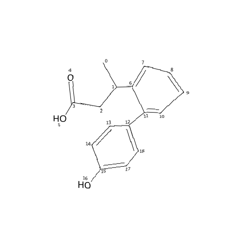 CC(CC(=O)O)c1ccccc1-c1ccc(O)cc1